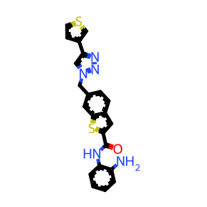 Nc1ccccc1NC(=O)c1cc2ccc(Cn3cc(-c4ccsc4)nn3)cc2s1